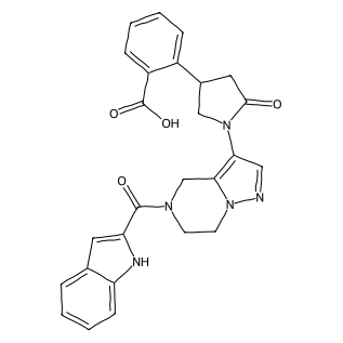 O=C(O)c1ccccc1C1CC(=O)N(c2cnn3c2CN(C(=O)c2cc4ccccc4[nH]2)CC3)C1